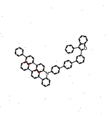 c1ccc(-c2ccc(-c3ccc(N(c4ccc(-c5ccc(-c6cccc(-c7oc8ccccc8c7-c7ccccc7)c6)cc5)cc4)c4ccccc4-c4ccc(-c5ccccc5)cc4)cc3)cc2)cc1